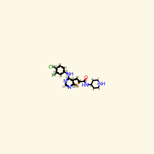 O=C(NC1CCNCC1)c1cc2c(Nc3ccc(Cl)c(F)c3)ncnc2s1